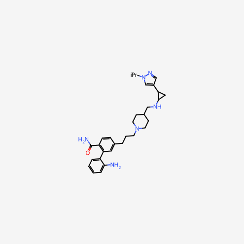 CC(C)n1cc(C2CC2NCC2CCN(CCCc3ccc(C(N)=O)c(-c4ccccc4N)c3)CC2)cn1